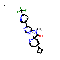 C1CCC1.CN(C(=O)C1(C)C=CC=CC=N1)c1cc(-c2ccc(C(F)(F)F)nc2)ncn1